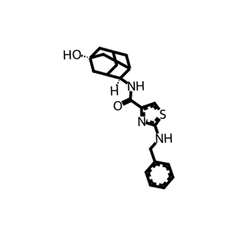 O=C(N[C@H]1C2CC3CC1C[C@](O)(C3)C2)c1csc(NCc2ccccc2)n1